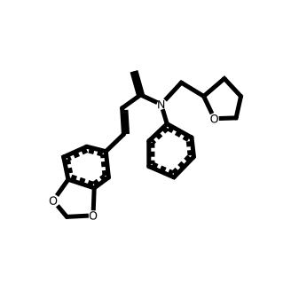 C=C(/C=C/c1ccc2c(c1)OCO2)N(CC1CCCO1)c1ccccc1